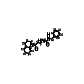 O=C(NCCC(=O)N1CCCC2CCCC=C21)NCc1ccccc1